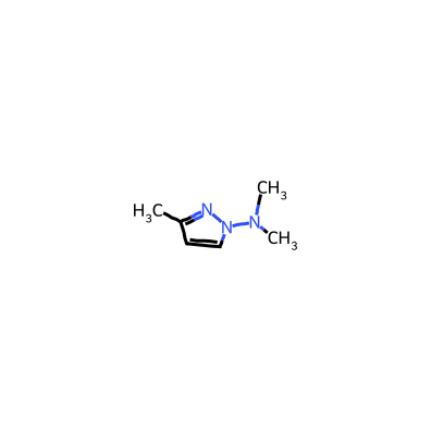 Cc1ccn(N(C)C)n1